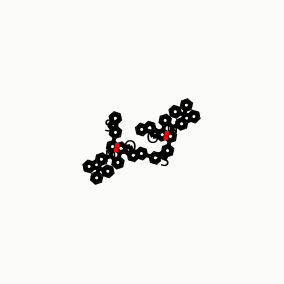 c1ccc(C2(c3ccccc3)c3ccccc3-c3ccc(N(c4ccc(-c5ccc6sc7ccc(-c8ccc9c(ccc%10c9oc9cccc(-c%11ccccc%11N(c%11ccc(-c%12ccc%13c(c%12)sc%12ccccc%12%13)cc%11)c%11ccc%12c(c%11)C(c%11ccccc%11)(c%11ccccc%11)c%11ccccc%11-%12)c9%10)c8)cc7c6c5)cc4)c4ccccc4-c4cccc5oc6c7ccccc7ccc6c45)cc32)cc1